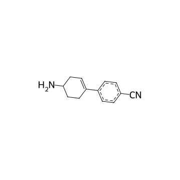 N#Cc1ccc(C2=CCC(N)CC2)cc1